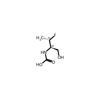 C[C@H](F)[C@@H](CO)NC(=O)O